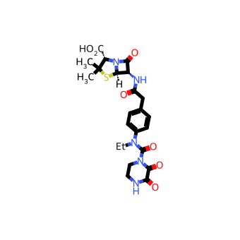 CCN(C(=O)N1CCNC(=O)C1=O)c1ccc(CC(=O)N[C@@H]2C(=O)N3[C@@H]2SC(C)(C)[C@@H]3C(=O)O)cc1